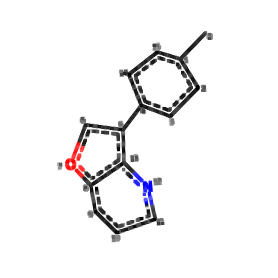 Cc1ccc(-c2coc3cccnc23)cc1